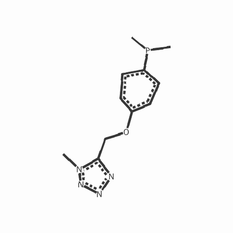 Cn1nnnc1COc1ccc(P(C)C)cc1